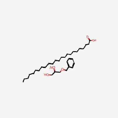 CCCCCCCCCCCCCCCCCCCCCCCC(=O)O.OCC(O)COCc1ccccc1